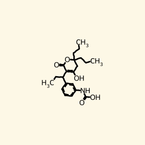 CCCC1(CCC)CC(O)=C(C(CC)c2cccc(NC(=O)O)c2)C(=O)O1